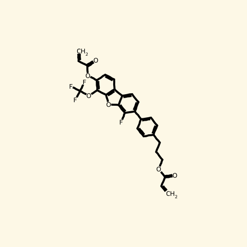 C=CC(=O)OCCCc1ccc(-c2ccc3c(oc4c(OC(F)(F)F)c(OC(=O)C=C)ccc43)c2F)cc1